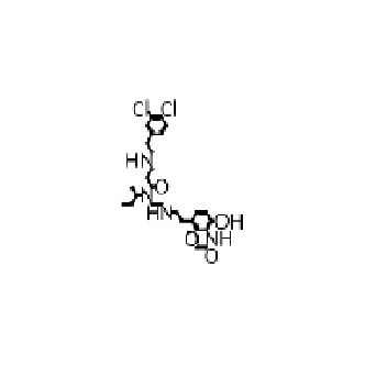 CCC(C)N(CCNCCc1ccc(O)c2c1OCC(=O)N2)C(=O)CCNCCc1ccc(Cl)c(Cl)c1